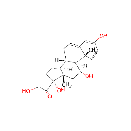 C[C@]12C=CC(O)=CC1=CC[C@@H]1[C@@H]2C(O)C[C@@]2(C)[C@H]1CC[C@]2(O)C(=O)CO